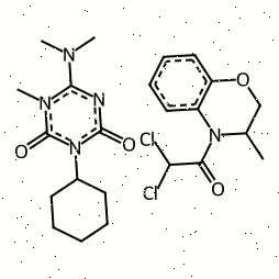 CC1COc2ccccc2N1C(=O)C(Cl)Cl.CN(C)c1nc(=O)n(C2CCCCC2)c(=O)n1C